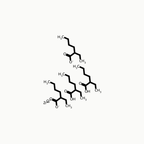 CCCCC(CC)C(=O)O.CCCCC(CC)C(=O)O.CCCCC(CC)C(=O)[O-].CCCCC(CC)C(=O)[O-].[O-2].[Zr+4]